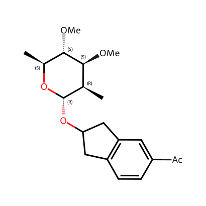 CO[C@@H]1[C@@H](OC)[C@@H](C)[C@H](OC2Cc3ccc(C(C)=O)cc3C2)O[C@H]1C